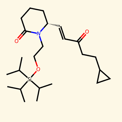 CC(C)[Si](OCCN1C(=O)CCC[C@@H]1/C=C/C(=O)CCC1CC1)(C(C)C)C(C)C